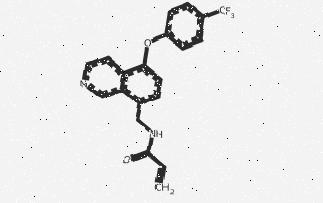 C=CC(=O)NCc1ccc(Oc2ccc(C(F)(F)F)cc2)c2ccncc12